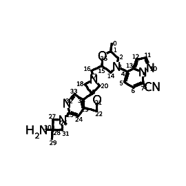 CC1CN(c2ccc(C#N)n3nccc23)CC(CN2CC3(C2)OCc2cc(N4CC(C)(N)C4)ncc23)O1